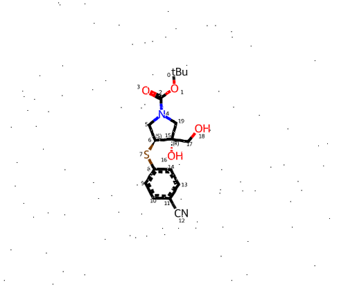 CC(C)(C)OC(=O)N1C[C@H](Sc2ccc(C#N)cc2)[C@](O)(CO)C1